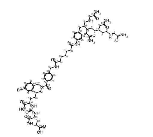 NC(=O)CNCCN(CCN(CC(N)=O)C(CNCC(N)=O)Cc1ccc(NC(=S)CCCCCC(=O)NCc2ccc(C(=O)N(CCCC[C@@H](NC(=O)N[C@H](CCC(=O)O)C(=O)O)C(=O)O)Cc3ccc(Br)cc3)cc2)cc1)CC(N)=O